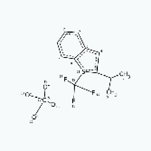 CC(C)c1cc2ccccc2[s+]1C(F)(F)F.[O-][Cl+3]([O-])([O-])[O-]